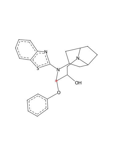 CN(c1nc2ccccc2s1)C1CC2CCC(C1)N2CC(O)COc1ccccc1